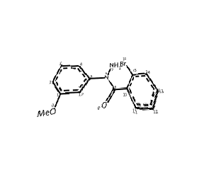 COc1cccc(N(N)C(=O)c2ccccc2Br)c1